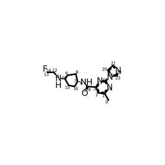 Cc1cc(C(=O)N[C@H]2CC[C@H](NCCF)CC2)nc(-n2ccnc2)n1